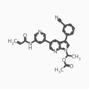 C=CC(=O)Nc1cncc(-c2cnc3c(c2)c(-c2cccc(C#N)c2)cn3C(C)OC(C)=O)c1